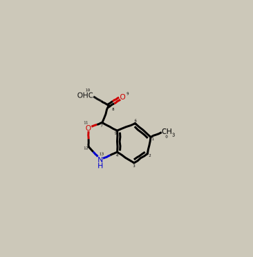 Cc1ccc2c(c1)C(C(=O)C=O)OCN2